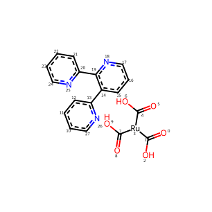 O=[C](O)[Ru]([C](=O)O)[C](=O)O.c1ccc(-c2cccnc2-c2ccccn2)nc1